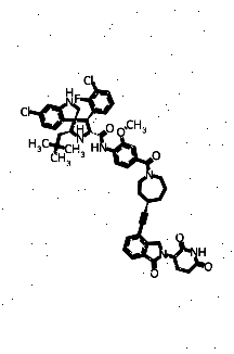 COc1cc(C(=O)N2CCC[C@@H](C#Cc3cccc4c3CN(C3CCC(=O)NC3=O)C4=O)CC2)ccc1NC(=O)[C@@H]1N[C@@H](CC(C)(C)C)[C@@]2(CNc3cc(Cl)ccc32)[C@H]1c1cccc(Cl)c1F